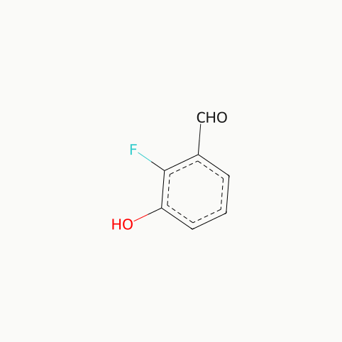 O=Cc1cccc(O)c1F